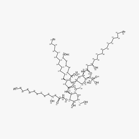 CCCCCCCCCCCCCCCC(=O)O[C@H](CCCCCCCCCCCC(C)C)CC(=O)N[C@H]1[C@H](OC[C@H]2O[C@H](OP(=O)(O)O)[C@H](NC(=O)C[C@H](O)CCCCCCCCCCCC(C)C)[C@@H](O)[C@@H]2O)O[C@H](CO)[C@@H](O)[C@@H]1ONC(=O)C[C@H](O)CCCCCCCCCC(C)C